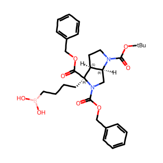 CC(C)(C)OC(=O)N1CC[C@H]2[C@@H]1CN(C(=O)OCc1ccccc1)[C@@]2(CCCCB(O)O)C(=O)OCc1ccccc1